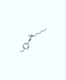 CCCCCCNC#Cc1ccc(CC)cc1